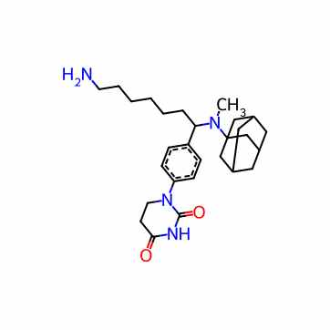 CN(C(CCCCCCN)c1ccc(N2CCC(=O)NC2=O)cc1)C12CC3CC(CC(C3)C1)C2